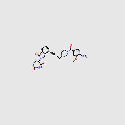 COc1cc(C(=O)N2CCC3(CC2)C[C@@H]3C#Cc2cccc3c2CN(C2CCC(=O)NC2=O)C3=O)ccc1N